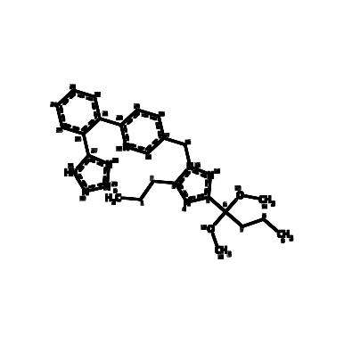 CCCc1nc(C(CCC)(OC)OC)nn1Cc1ccc(-c2ccccc2-c2nnn[nH]2)nc1